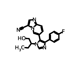 CCC(CO)n1cnc(-c2ccc(F)cc2)c1-c1ccc2ncc(C#N)n2c1